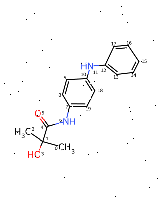 CC(C)(O)C(=O)Nc1ccc(Nc2ccccc2)cc1